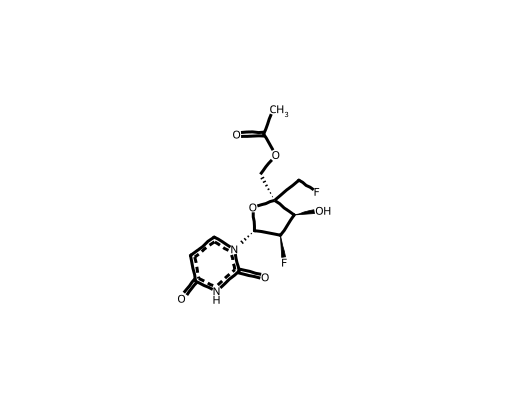 CC(=O)OC[C@@]1(CF)O[C@@H](n2ccc(=O)[nH]c2=O)[C@H](F)[C@@H]1O